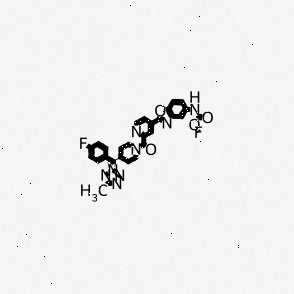 Cc1nnn([C@H](c2ccc(F)cc2)C2CCN(C(=O)c3cc(-c4nc5cc(NC(=O)OF)ccc5o4)ccn3)CC2)n1